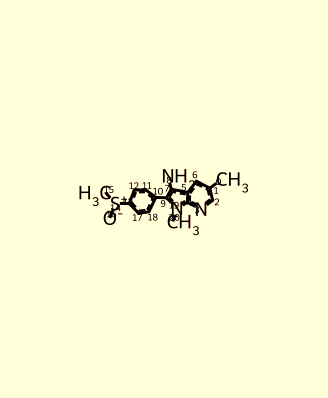 Cc1cnc2c(c1)c(N)c(-c1ccc([S+](C)[O-])cc1)n2C